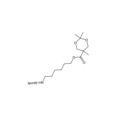 CC1(C)OCC(C)(C(=O)OCCCCCCN=[N+]=[N-])CO1